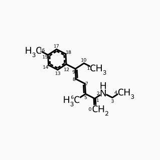 C=C(NCC)/C(C)=C/C=C(\CC)c1ccc(C)cc1